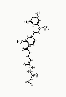 Cc1cc(/C=C/C(c2cc(Cl)cc(Cl)c2)C(F)(F)F)ccc1C(=O)CCCC(=O)NNC(=O)C1CC1